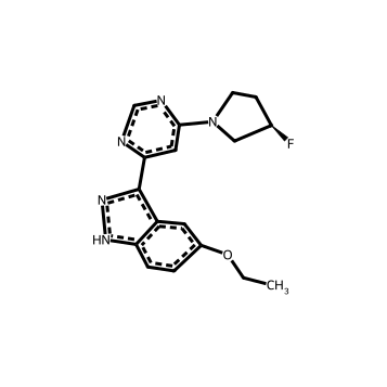 CCOc1ccc2[nH]nc(-c3cc(N4CC[C@@H](F)C4)ncn3)c2c1